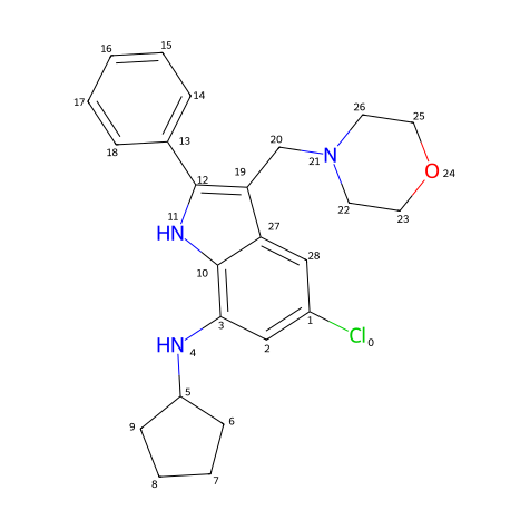 Clc1cc(NC2CCCC2)c2[nH]c(-c3ccccc3)c(CN3CCOCC3)c2c1